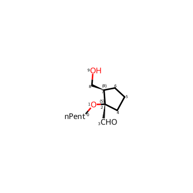 CCCCCO[C@@]1(C=O)CCC[C@@H]1CO